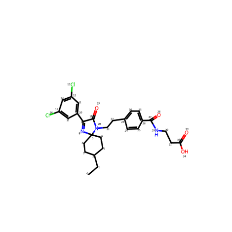 CCC1CCC2(CC1)N=C(c1cc(Cl)cc(Cl)c1)C(=O)N2CCc1ccc(C(=O)NCCC(=O)O)cc1